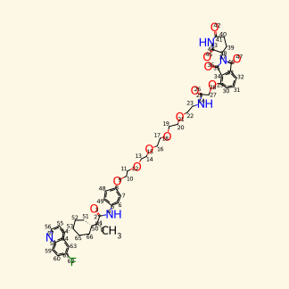 C[C@@H](C(=O)Nc1ccc(OCCOCCOCCOCCOCCNC(=O)COc2cccc3c2C(=O)N(C2CCC(=O)NC2=O)C3=O)cc1)[C@H]1CC[C@@H](c2ccnc3ccc(F)cc32)CC1